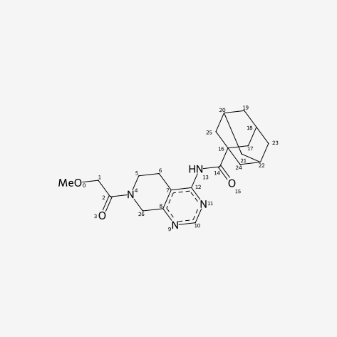 COCC(=O)N1CCc2c(ncnc2NC(=O)C23CC4CC(CC(C4)C2)C3)C1